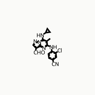 Cc1c(Nc2ccc(C#N)cc2Cl)nc2c(C=O)cnn2c1NC1CC1